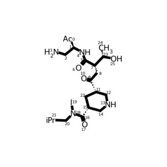 CC(=O)[C@H](CN)NC(=O)[C@@H](CC(=O)[C@@H]1CNC[C@H](C(=O)N(I)CC(C)C)C1)[C@H](C)O